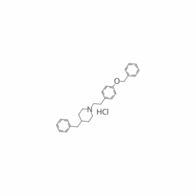 Cl.c1ccc(COc2ccc(CCN3CCC(Cc4ccccc4)CC3)cc2)cc1